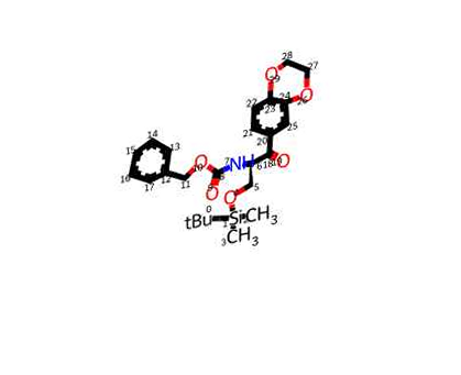 CC(C)(C)[Si](C)(C)OC[C@@H](NC(=O)OCc1ccccc1)C(=O)c1ccc2c(c1)OCCO2